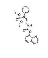 CCOP(=O)(OCC)N(SCNC(=O)Oc1cccc2cccnc12)c1ccccc1